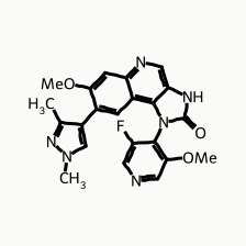 COc1cc2ncc3[nH]c(=O)n(-c4c(F)cncc4OC)c3c2cc1-c1cn(C)nc1C